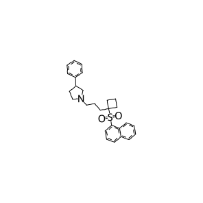 O=S(=O)(c1cccc2ccccc12)C1(CCCN2CCC(c3ccccc3)C2)CCC1